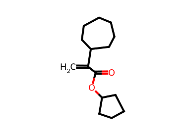 C=C(C(=O)OC1CCCC1)C1CCCCCC1